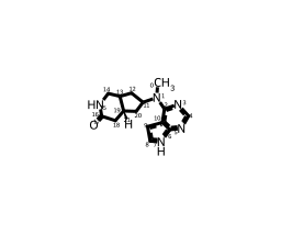 CN(c1ncnc2[nH]ccc12)C1CC2CNC(=O)C[C@H]2C1